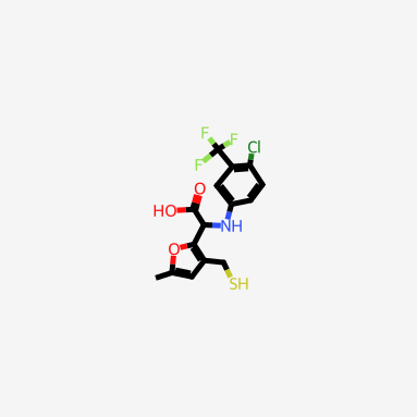 Cc1cc(CS)c(C(Nc2ccc(Cl)c(C(F)(F)F)c2)C(=O)O)o1